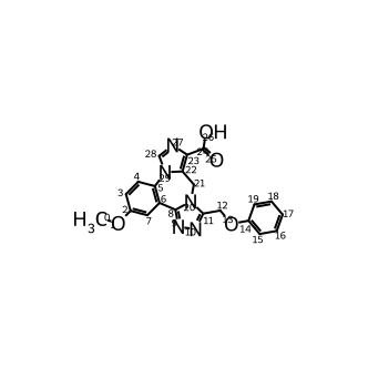 COc1ccc2c(c1)-c1nnc(COc3ccccc3)n1Cc1c(C(=O)O)ncn1-2